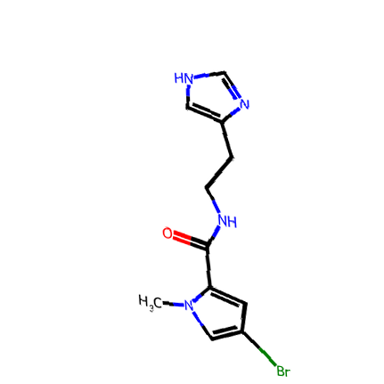 Cn1cc(Br)cc1C(=O)NCCc1c[nH]cn1